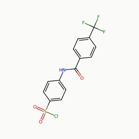 O=C(Nc1ccc(S(=O)(=O)Cl)cc1)c1ccc(C(F)(F)F)cc1